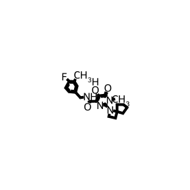 Cc1cc(CNC(=O)c2nc(N3CCC34CCCC4)n(C)c(=O)c2O)ccc1F